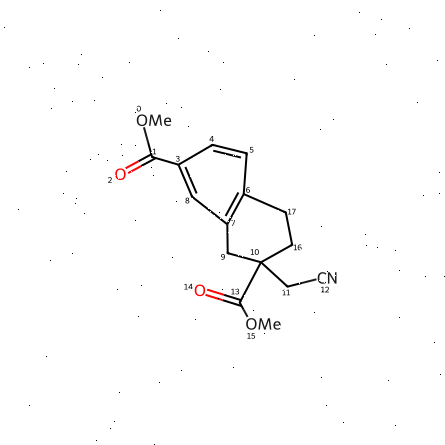 COC(=O)c1ccc2c(c1)CC(CC#N)(C(=O)OC)CC2